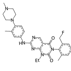 CCn1c(=O)n(-c2c(C)cccc2CF)c(=O)c2cnc(Nc3ccc(N4CCN(C)CC4)c(C)c3)nc21